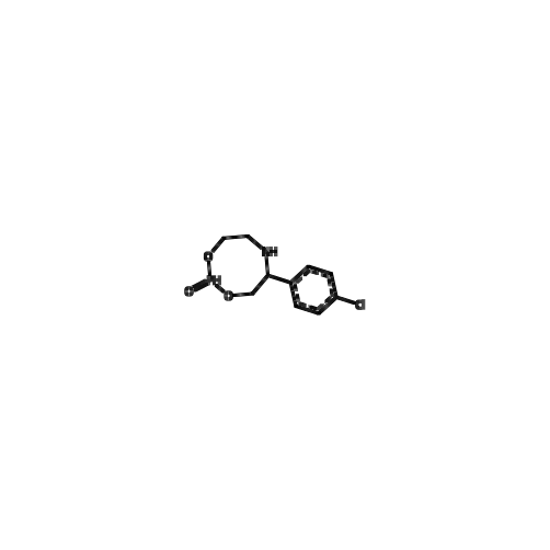 O=[PH]1OCCNC(c2ccc(Cl)cc2)CO1